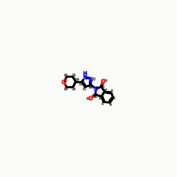 O=C1c2ccccc2C(=O)N1c1cc(C2CCOCC2)[nH]n1